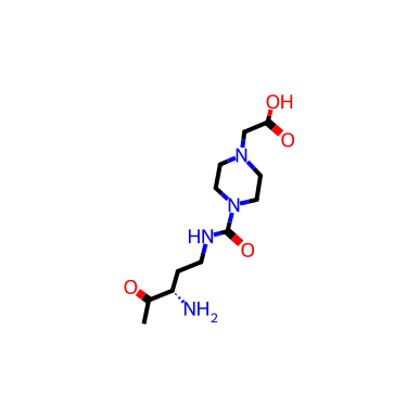 CC(=O)[C@@H](N)CCNC(=O)N1CCN(CC(=O)O)CC1